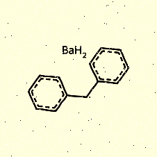 [BaH2].[CH](c1ccccc1)c1ccccc1